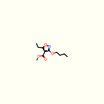 CCCCOc1noc(CC)c1C(=O)OC